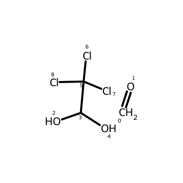 C=O.OC(O)C(Cl)(Cl)Cl